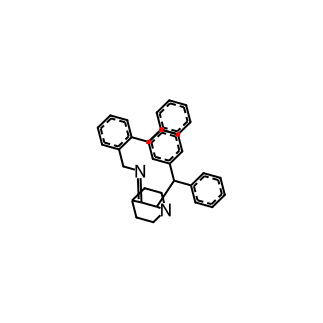 c1ccc(Cc2ccccc2CN=C2C3CCN(CC3)C2C(c2ccccc2)c2ccccc2)cc1